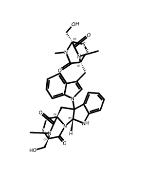 CN1C(=O)[C@]2(Cc3cn(C45C[C@@]67SS[C@@](CO)(C(=O)N6[C@H]4Nc4ccccc45)N(C)C7=O)c4ccccc34)SS[C@@]1(CO)C(=O)N2C